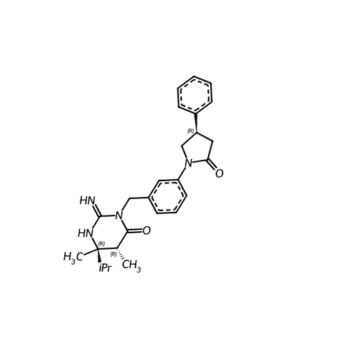 CC(C)[C@@]1(C)NC(=N)N(Cc2cccc(N3C[C@@H](c4ccccc4)CC3=O)c2)C(=O)[C@@H]1C